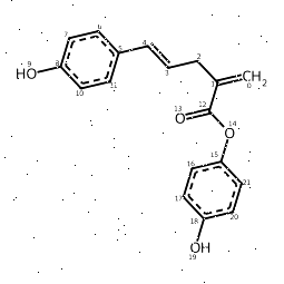 C=C(CC=Cc1ccc(O)cc1)C(=O)Oc1ccc(O)cc1